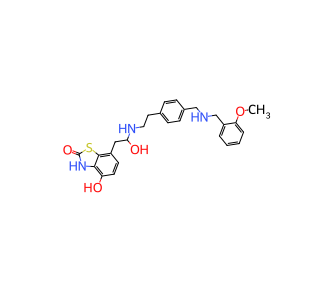 COc1ccccc1CNCc1ccc(CCNC(O)Cc2ccc(O)c3[nH]c(=O)sc23)cc1